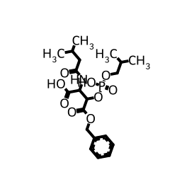 CC(C)COP(=O)(O)OC(C(=O)OCc1ccccc1)C(NC(=O)CC(C)C)C(=O)O